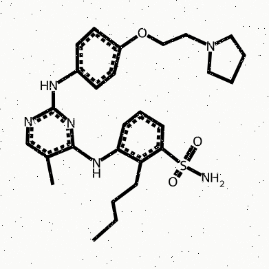 CCCCc1c(Nc2nc(Nc3ccc(OCCN4CCCC4)cc3)ncc2C)cccc1S(N)(=O)=O